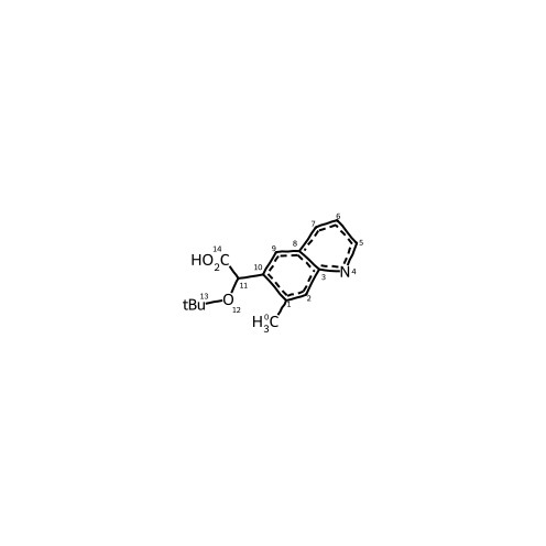 Cc1cc2ncccc2cc1C(OC(C)(C)C)C(=O)O